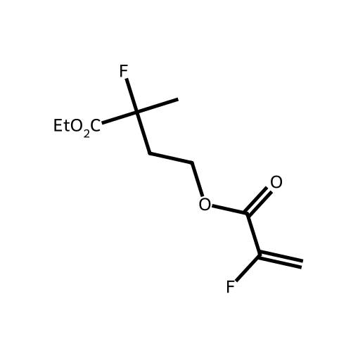 C=C(F)C(=O)OCCC(C)(F)C(=O)OCC